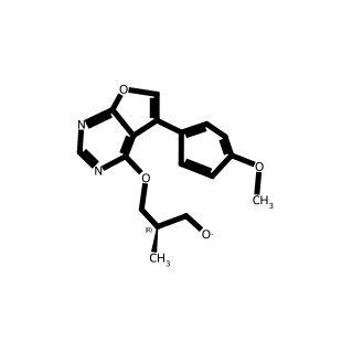 COc1ccc(-c2coc3ncnc(OC[C@H](C)C[O])c23)cc1